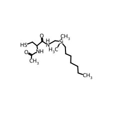 CCCCCCC[Si](C)(C)CNC(=O)C(CS)NC(C)=O